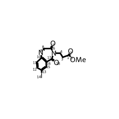 COC(=O)CCn1c(=O)cnc2ccc(I)cc2c1=O